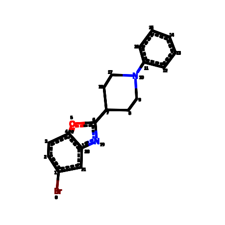 Brc1ccc2oc(C3CCN(c4ccccc4)CC3)nc2c1